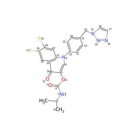 CC(C)NC(=O)Oc1cn(-c2ccc(Cn3ccnn3)cc2)c2cc(F)c(F)cc2c1=O